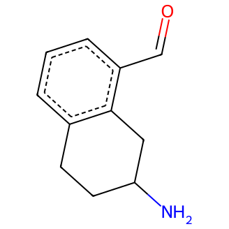 NC1CCc2cccc(C=O)c2C1